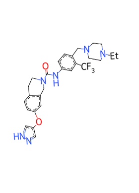 CCN1CCN(Cc2ccc(NC(=O)N3CCc4ccc(Oc5cn[nH]c5)cc4C3)cc2C(F)(F)F)CC1